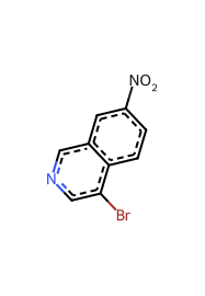 O=[N+]([O-])c1ccc2c(Br)cncc2c1